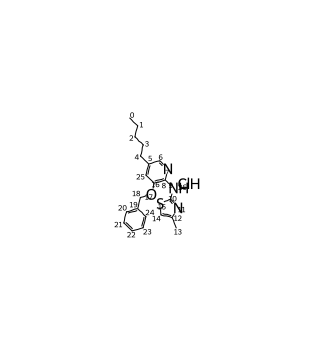 CCCCCc1cnc(Nc2nc(C)cs2)c(OCc2ccccc2)c1.Cl